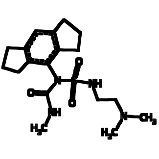 CNC(=O)N(c1c2c(cc3c1CCC3)CCC2)S(=O)(=O)NCCN(C)C